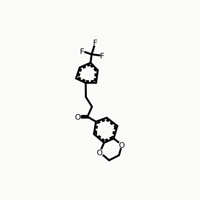 O=C(CCc1ccc(C(F)(F)F)cc1)c1ccc2c(c1)OCCO2